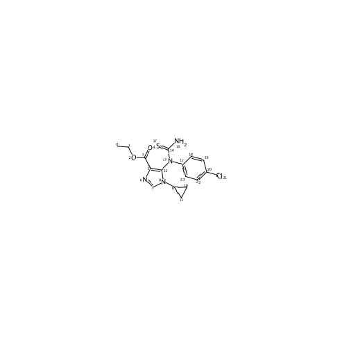 CCOC(=O)c1ncn(C2CC2)c1N(C(N)=S)c1ccc(Cl)cc1